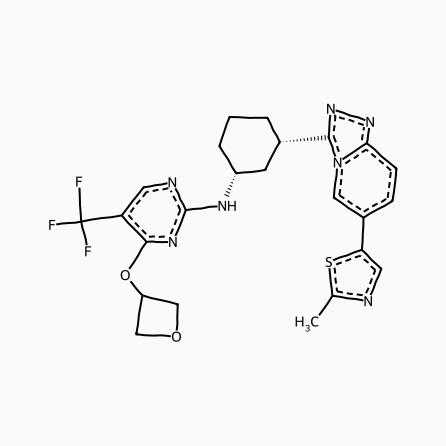 Cc1ncc(-c2ccc3nnc([C@H]4CCC[C@@H](Nc5ncc(C(F)(F)F)c(OC6COC6)n5)C4)n3c2)s1